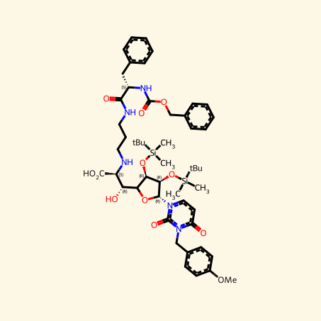 COc1ccc(Cn2c(=O)ccn([C@@H]3OC([C@H](O)[C@H](NCCCNC(=O)[C@H](Cc4ccccc4)NC(=O)OCc4ccccc4)C(=O)O)[C@@H](O[Si](C)(C)C(C)(C)C)[C@H]3O[Si](C)(C)C(C)(C)C)c2=O)cc1